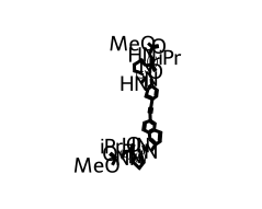 COC(=O)N[C@H](C(=O)N1CCC[C@H]1c1nc2ccc(C#Cc3ccc4c(ccc5nc([C@@H]6CCCN6C(=O)[C@@H](NC(=O)OC)C(C)C)[nH]c54)c3)cc2[nH]1)C(C)C